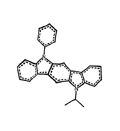 CC(C)n1c2ccccc2c2cc3c(cc21)c1ccccc1n3-c1ccccc1